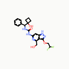 O=C(Nc1cc2[nH]nc(OCC(F)F)c2c(CO)n1)NC(c1ccccc1)C1(O)CCC1